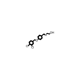 OCCN=Cc1ccc(OCc2ccc(Cl)c(Cl)c2)cc1